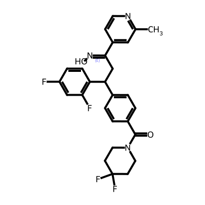 Cc1cc(/C(CC(c2ccc(C(=O)N3CCC(F)(F)CC3)cc2)c2ccc(F)cc2F)=N/O)ccn1